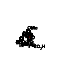 CCC(O[Si](c1ccccc1)(c1ccccc1)C(C)(C)C)[C@@H]1C[C@@H](C(C)CCOC(=O)O)[C@H](n2c(=O)sc3c(=O)[nH]c(NC(c4ccccc4)(c4ccccc4)c4ccc(OC)cc4)nc32)O1